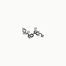 CN1CCC(NC(=O)c2cnn3ccc(-c4c[nH]c5nc(CC6CCC6)ncc45)cc23)CC1